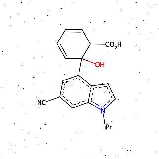 CC(C)n1ccc2c(C3(O)C=CC=CC3C(=O)O)cc(C#N)cc21